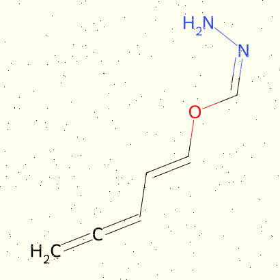 C=C=C/C=C/O/C=N\N